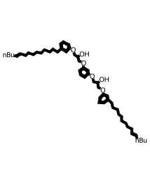 CCCC/C=C/CCCCCCCCCc1cccc(OCC(O)COc2cccc(OCC(O)COc3cccc(CCCCCCCCC/C=C/CCCC)c3)c2)c1